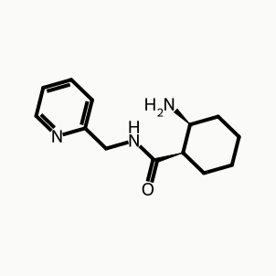 N[C@H]1CCCC[C@H]1C(=O)NCc1ccccn1